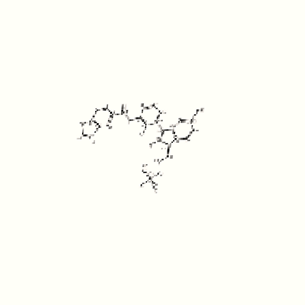 Cc1c(CNc2ccc3c(c2)OC[C]3)cccc1-c1c(C)n(CCCS(C)(=O)=O)c2ccc(F)cc12